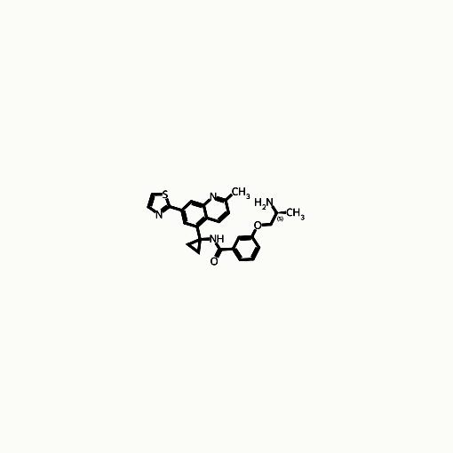 Cc1ccc2c(C3(NC(=O)c4cccc(OC[C@H](C)N)c4)CC3)cc(-c3nccs3)cc2n1